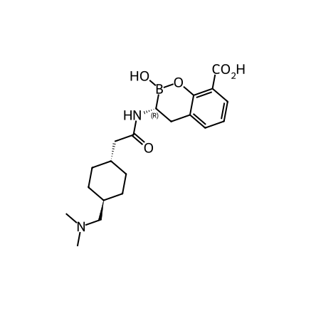 CN(C)C[C@H]1CC[C@H](CC(=O)N[C@H]2Cc3cccc(C(=O)O)c3OB2O)CC1